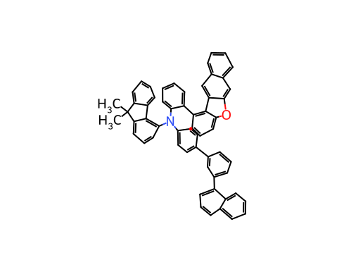 CC1(C)c2ccccc2-c2c(N(c3ccc(-c4cccc(-c5cccc6ccccc56)c4)cc3)c3ccccc3-c3cccc4oc5cc6ccccc6cc5c34)cccc21